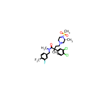 C[C@@H]1CN(CCC(C)(C(=O)N(C)Cc2ccc(C(F)(F)F)c(F)c2)c2ccc(Cl)c(Cl)c2)CCN1S(C)(=O)=O